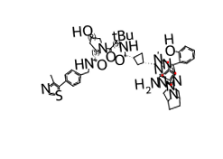 Cc1ncsc1-c1ccc(CNC(=O)[C@@H]2C[C@@H](O)CN2C(=O)[C@@H](NC(=O)[C@H]2C[C@@H](CN(C)Cc3cnc(N4C5CCC4CN(c4cc(-c6ccccc6O)nnc4N)C5)nc3)C2)C(C)(C)C)cc1